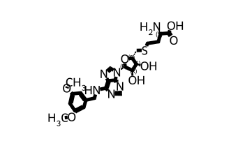 COc1cc(CNc2ncnc3c2ncn3[C@@H]2O[C@H](CSCC[C@H](N)C(=O)O)[C@@H](O)[C@H]2O)cc(OC)c1